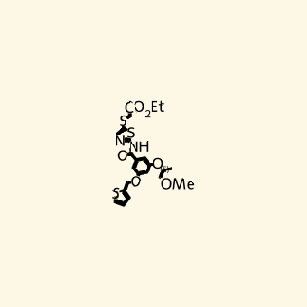 CCOC(=O)CSc1cnc(NC(=O)c2cc(OCc3cccs3)cc(O[C@@H](C)COC)c2)s1